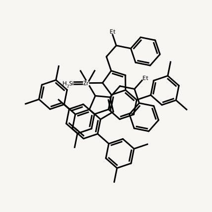 CCC(CC1=Cc2c(-c3cc(C)cc(C)c3)ccc(-c3cc(C)cc(C)c3)c2[CH]1[Zr]([CH3])([CH3])(=[SiH2])[CH]1C(CC(CC)c2ccccc2)=Cc2c(-c3cc(C)cc(C)c3)ccc(-c3cc(C)cc(C)c3)c21)c1ccccc1